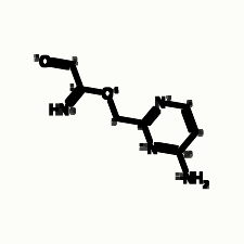 N=C([C]=O)OCc1nccc(N)n1